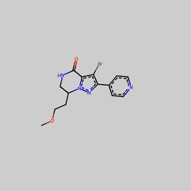 COCCC1CNC(=O)c2c(Br)c(-c3ccncc3)nn21